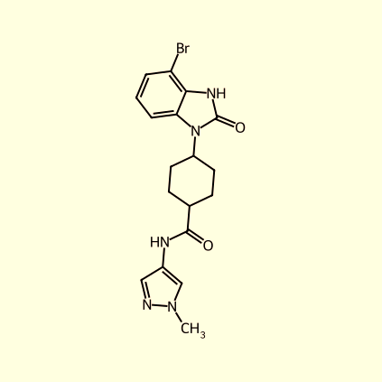 Cn1cc(NC(=O)C2CCC(n3c(=O)[nH]c4c(Br)cccc43)CC2)cn1